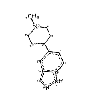 CN1CCC(c2ccc3[nH]ncc3c2)CC1